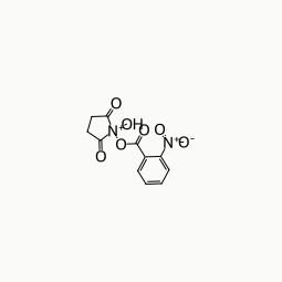 O=C(O[N+]1(O)C(=O)CCC1=O)c1ccccc1[N+](=O)[O-]